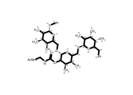 CC(=O)NCNC(=O)OC1[C@H](OCC2O[C@@H](OC(C)C)C(C)[C@H](C)[C@@H]2C)OC(CO[C@@H]2OC(CC(C)C)[C@@H](C)[C@@H](C)C2C)[C@@H](C)[C@H]1C